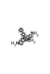 C=CC1=C(/C=c2/cc(N)ccc2=C)C(c2ccc(-c3cc#ccc3)cc2)C2=C=CC3=C(C=C=CC(N)=C3)C=C2O1